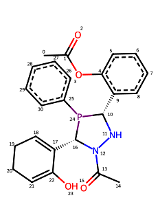 CC(=O)Oc1ccccc1[C@@H]1NN(C(C)=O)[C@H](C2=CCCC=C2O)P1c1ccccc1